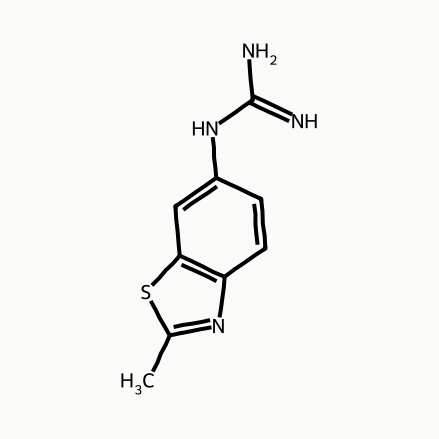 Cc1nc2ccc(NC(=N)N)cc2s1